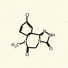 CN1C(=O)Cn2c(n[nH]c2=O)-c2cc(Cl)ccc21